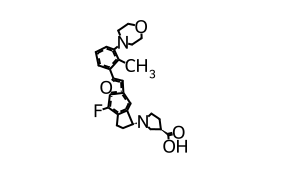 Cc1c(-c2cc3cc4c(c(F)c3o2)CC[C@H]4N2CC[C@@H](C(=O)O)C2)cccc1N1CCOCC1